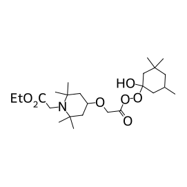 CCOC(=O)CN1C(C)(C)CC(OCC(=O)OOC2(O)CC(C)CC(C)(C)C2)CC1(C)C